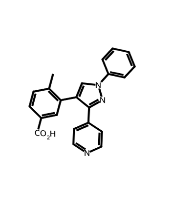 Cc1ccc(C(=O)O)cc1-c1cn(-c2ccccc2)nc1-c1ccncc1